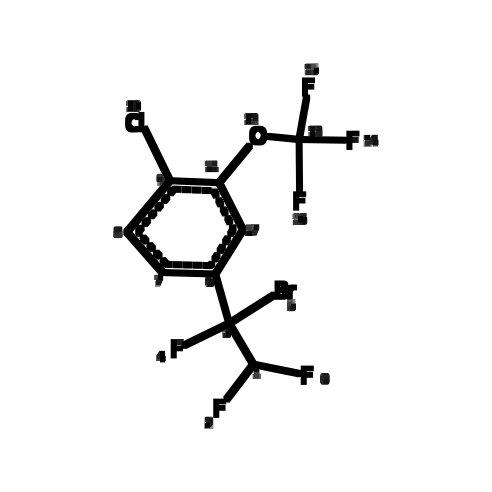 FC(F)C(F)(Br)c1ccc(Cl)c(OC(F)(F)F)c1